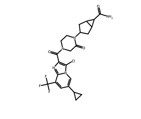 NC(=O)C1C2CC(N3CCN(C(=O)c4nc5c(C(F)(F)F)cc(C6CC6)cn5c4Cl)CC3=O)CC21